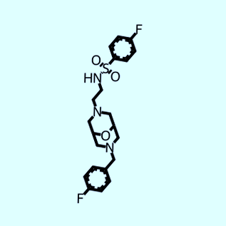 O=S(=O)(NCCN1CC2CN(Cc3ccc(F)cc3)CC(C1)O2)c1ccc(F)cc1